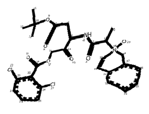 CC(C(=O)NC(CC(=O)OC(C)(C)C)C(=O)COC(=O)c1c(Cl)cccc1Cl)[N+]1([O-])C=Cc2ccccc2C1